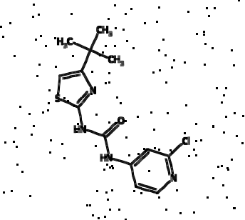 CC(C)(C)c1csc(NC(=O)Nc2ccnc(Cl)c2)n1